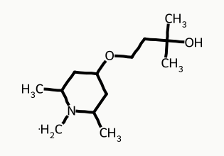 [CH2]N1C(C)CC(OCCC(C)(C)O)CC1C